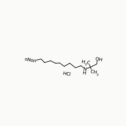 CCCCCCCCCCCCCCCCCCNC(C)(C)CO.Cl